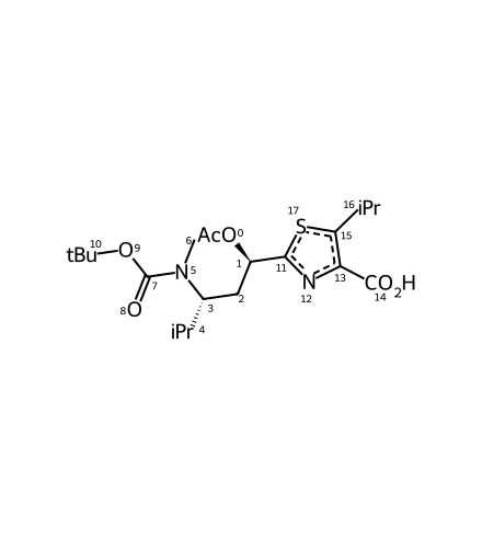 CC(=O)O[C@H](C[C@H](C(C)C)N(C)C(=O)OC(C)(C)C)c1nc(C(=O)O)c(C(C)C)s1